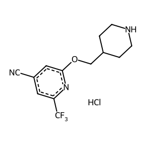 Cl.N#Cc1cc(OCC2CCNCC2)nc(C(F)(F)F)c1